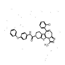 Cc1nnc2n1-c1sc3c(c1C(c1ccccc1Cl)=NC2)CCN(C(=O)Nc1ccc(Oc2ccccc2)cc1)C3